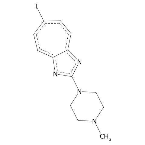 CN1CCN(c2nc3ccc(I)ccc-3n2)CC1